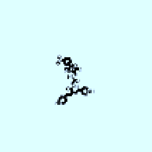 O=C(CNC(=O)C(CCC1CCNCC1)CCC1CCNCC1)NCC(NS(=O)(=O)c1cccc([N+](=O)[O-])c1)C(=O)O